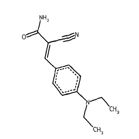 CCN(CC)c1ccc(/C=C(\C#N)C(N)=O)cc1